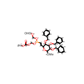 COC1OC(/C=C/P(OCOC=O)OCOC(=O)OC(C)C)C(OCc2ccccc2)C(OCc2ccccc2)C1OCc1ccccc1